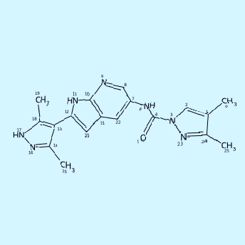 Cc1cn(C(=O)Nc2cnc3[nH]c(-c4c(C)n[nH]c4C)cc3c2)nc1C